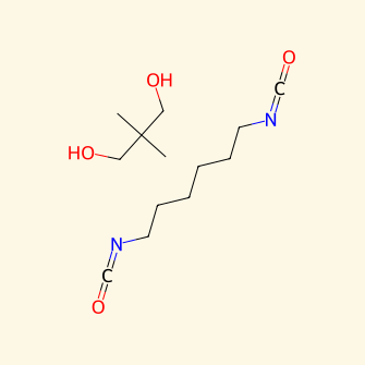 CC(C)(CO)CO.O=C=NCCCCCCN=C=O